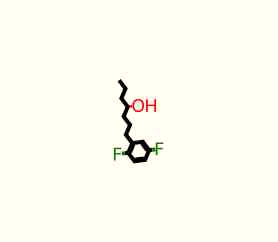 CCC[C@@H](O)CCCc1cc(F)ccc1F